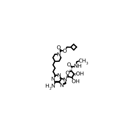 CCNC(=O)[C@H]1O[C@@H](n2cnc3c(N)nc(CCCC4CCN(C(=O)OCC5CCC5)CC4)nc32)C(O)[C@H]1O